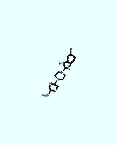 CNc1cnc(N2CCN(c3nc4ccc(F)cc4[nH]3)CC2)cn1